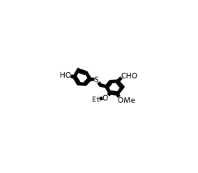 CCOc1c(CSc2ccc(O)cc2)cc(C=O)cc1OC